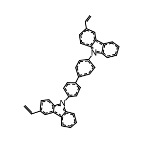 C=Cc1ccc2c(c1)c1ccccc1n2-c1ccc(-c2ccc(-n3c4ccccc4c4cc(C=C)ccc43)cc2)cc1